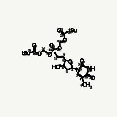 Cc1cn([C@H]2C[C@@H](O)C(/C=C/P(=O)(OCOC(=O)C(C)(C)C)OCOC(=O)C(C)(C)C)O2)c(=O)[nH]c1=O